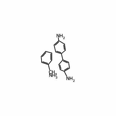 Cc1ccccc1.N.Nc1ccc(-c2ccc(N)cc2)cc1